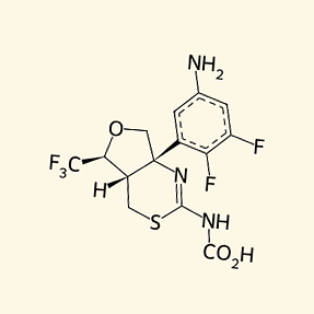 Nc1cc(F)c(F)c([C@]23CO[C@H](C(F)(F)F)[C@H]2CSC(NC(=O)O)=N3)c1